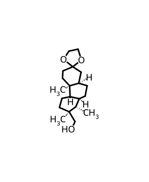 C[C@H]1[C@@H]2CC[C@@H]3CC4(CC[C@]3(C)[C@H]2CC[C@]1(C)CO)OCCO4